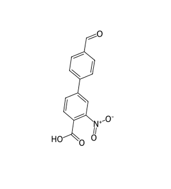 O=Cc1ccc(-c2ccc(C(=O)O)c([N+](=O)[O-])c2)cc1